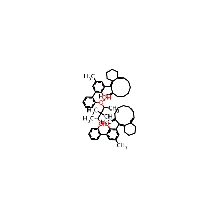 C=C1CCCCC/C=C2/CCCC/C2=C/1c1cc(C)cc(-c2ccccc2OC(C)C(C)(C)[C@@H](C)Oc2ccccc2-c2cc(C)cc(/C3=C4\CCCC\C4=C\CCCCCC3=C)c2O)c1O